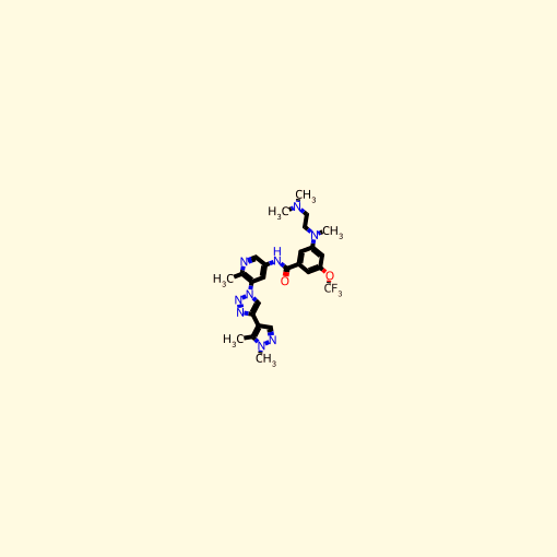 Cc1ncc(NC(=O)c2cc(OC(F)(F)F)cc(N(C)CCN(C)C)c2)cc1-n1cc(-c2cnn(C)c2C)nn1